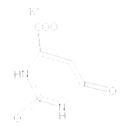 O=C([O-])c1cc(=O)[nH]c(=O)[nH]1.[K+]